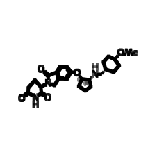 CO[C@H]1CC[C@H](CN[C@@H]2CCC[C@H]2Oc2ccc3c(c2)CN(C2CCC(=O)NC2=O)C3=O)CC1